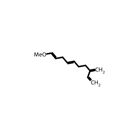 C=CC(=C)CCC=CCC=COC